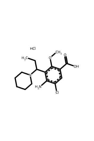 CCC(c1c(N)c(Cl)cc(C(=O)O)c1OC)N1CCCCC1.Cl